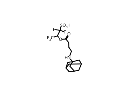 O=C(CCCNC12CC3CC(CC(C3)C1)C2)OC(C(F)(F)F)C(F)(F)S(=O)(=O)O